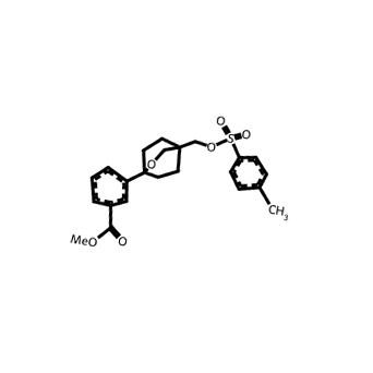 COC(=O)c1cccc(C23CCC(COS(=O)(=O)c4ccc(C)cc4)(CC2)CO3)c1